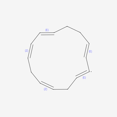 [C]1=C/C/C=C\C/C=C\C=C\CC/C=C/1